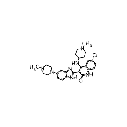 CN1CCC(Nc2c(-c3nc4cc(N5CCN(C)CC5)ccc4[nH]3)c(=O)[nH]c3ccc(Cl)cc23)CC1